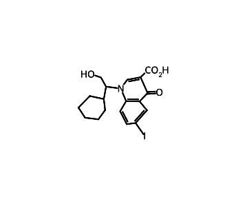 O=C(O)c1cn(C(CO)C2CCCCC2)c2ccc(I)cc2c1=O